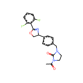 CC(=O)N1CCN(Cc2ccc(C3COC(c4c(F)cccc4F)=N3)cc2)C1=O